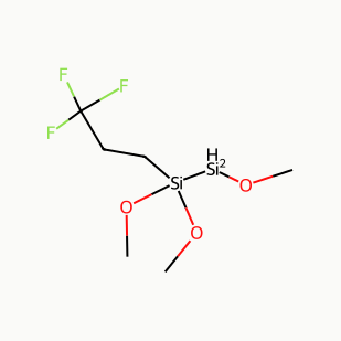 CO[SiH2][Si](CCC(F)(F)F)(OC)OC